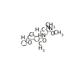 COc1nn(C)c(C)c1CNC(=O)c1cc(Cl)c(C(C)Oc2ccccc2)cc1C